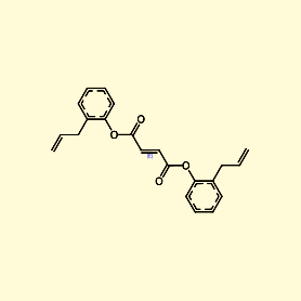 C=CCc1ccccc1OC(=O)/C=C/C(=O)Oc1ccccc1CC=C